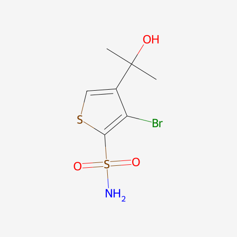 CC(C)(O)c1csc(S(N)(=O)=O)c1Br